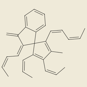 C=C1/C(=C\C=C/C)C2(C(/C=C\C=C/C)=C(C)C(/C=C\C)=C2/C=C\C)c2ccccc21